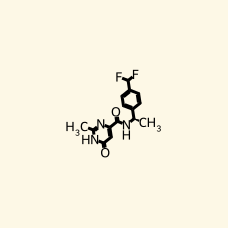 Cc1nc(C(=O)N[C@H](C)c2ccc(C(F)F)cc2)cc(=O)[nH]1